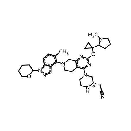 Cc1ccc2c(cnn2C2CCCCO2)c1N1CCc2c(nc(OC3(C4CCCN4C)CC3)nc2N2CCN[C@@H](CC#N)C2)C1